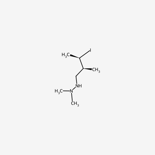 C[C@@H](I)[C@@H](C)CNN(C)C